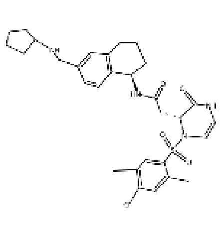 Cc1cc(S(=O)(=O)N2C=CNC(=O)[C@H]2CC(=O)N[C@@H]2CCCc3cc(CNC4CCCC4)ccc32)c(C)cc1Cl